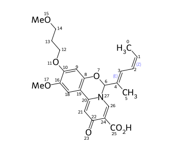 C/C=C\C=C(/C)C1Oc2cc(OCCCOC)c(OC)cc2-c2cc(=O)c(C(=O)O)cn21